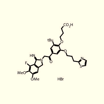 Br.COc1cc2c(c(F)c1OC)C(=N)N(CC(=O)c1cc(OCCCc3nccs3)c(OCCCC(=O)O)c(C(C)(C)C)c1)C2